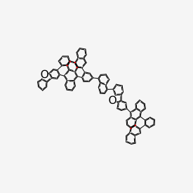 c1ccc(-c2cc3oc4ccccc4c3cc2-c2c3ccccc3c(-c3ccc(-c4cccc5c(-c6cccc7c6oc6ccc(-c8c9ccccc9c(-c9ccccc9-c9ccc%10ccccc%10c9)c9ccccc89)cc67)cccc45)cc3-c3ccc4ccccc4c3)c3ccccc23)cc1